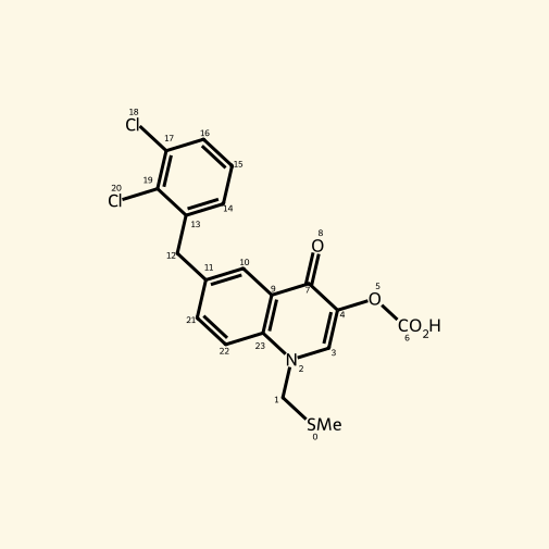 CSCn1cc(OC(=O)O)c(=O)c2cc(Cc3cccc(Cl)c3Cl)ccc21